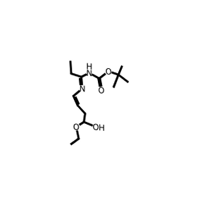 CCOC(O)C/C=C\N=C(/CC)NC(=O)OC(C)(C)C